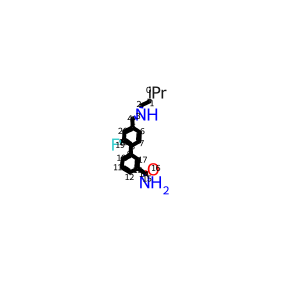 CC(C)CCNCc1ccc(-c2cccc(C(N)=O)c2)c(F)c1